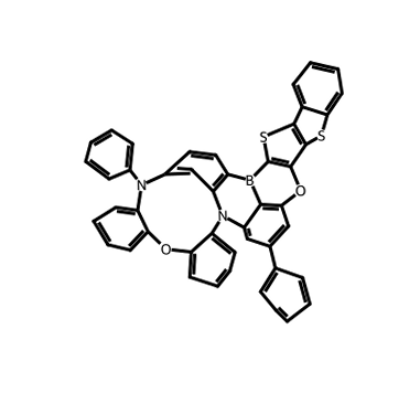 c1ccc(-c2cc3c4c(c2)N2c5ccccc5Oc5ccccc5N(c5ccccc5)c5ccc(c2c5)B4c2sc4c(sc5ccccc54)c2O3)cc1